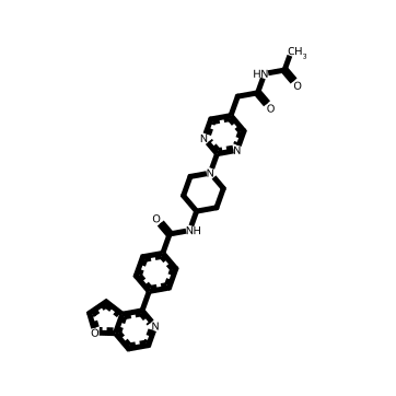 CC(=O)NC(=O)Cc1cnc(N2CCC(NC(=O)c3ccc(-c4nccc5occc45)cc3)CC2)nc1